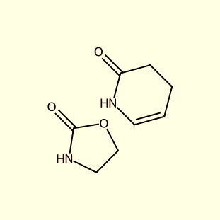 O=C1CCC=CN1.O=C1NCCO1